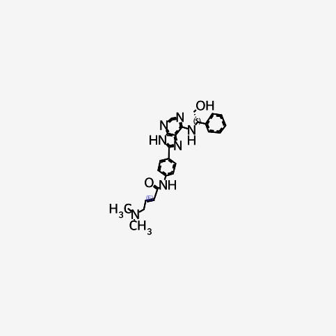 CN(C)C/C=C/C(=O)Nc1ccc(-c2nc3c(N[C@H](CO)c4ccccc4)ncnc3[nH]2)cc1